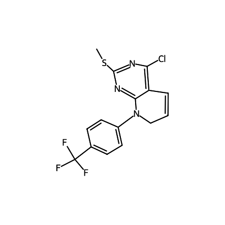 CSc1nc(Cl)c2c(n1)N(c1ccc(C(F)(F)F)cc1)CC=C2